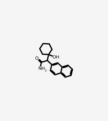 NC(=O)C(c1ccc2ccccc2c1)C1(O)CCCCC1